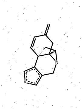 C=C1C=C[C@]23CCN(Cc4cscc42)[C@H]3C1